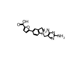 Nc1ncc(CN2CCc3cc(-c4ccc(C(=O)O)o4)ccc32)c(N)n1